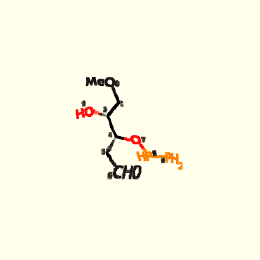 COC[C@@H](O)[C@@H](CC=O)OPP